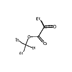 CCC(=O)C(=O)OC(CC)(CC)CC